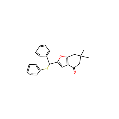 CC1(C)CC(=O)c2cc(C(Sc3ccccc3)c3ccccc3)oc2C1